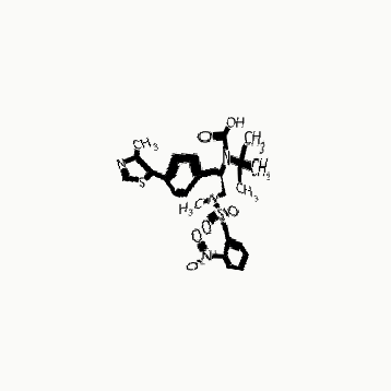 Cc1ncsc1-c1ccc([C@H](CN(C)S(=O)(=O)c2ccccc2[N+](=O)[O-])N(C(=O)O)C(C)(C)C)cc1